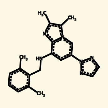 Cc1cccc(C)c1CNc1cc(-n2nccn2)cn2c(C)c(C)nc12